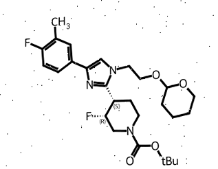 Cc1cc(-c2cn(CCOC3CCCCO3)c([C@@H]3CCN(C(=O)OC(C)(C)C)C[C@@H]3F)n2)ccc1F